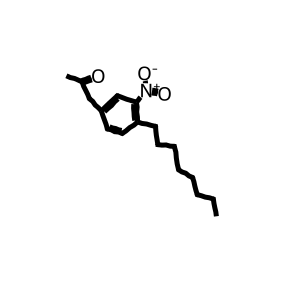 CCCCCCCCc1ccc(CC(C)=O)cc1[N+](=O)[O-]